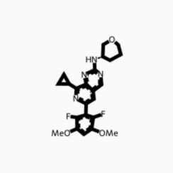 COc1cc(OC)c(F)c(-c2cc3cnc(N[C@H]4CCCOC4)nc3c(C3CC3)n2)c1F